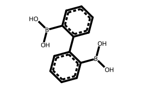 OB(O)c1ccccc1-c1ccccc1B(O)O